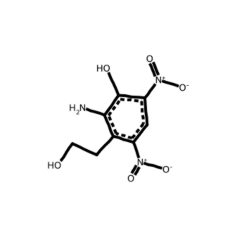 Nc1c(O)c([N+](=O)[O-])cc([N+](=O)[O-])c1CCO